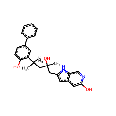 CC(C)(CC(O)(Cc1cc2cc(O)ncc2[nH]1)C(F)(F)F)c1cc(-c2ccccc2)ccc1O